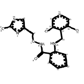 Cc1nc(CONC(=O)c2ccccc2NCc2c(Cl)cncc2Cl)cs1